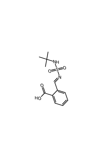 CC(C)(C)NS(=O)(=O)N=Cc1ccccc1C(=O)O